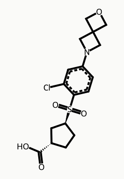 O=C(O)[C@H]1CC[C@H](S(=O)(=O)c2ccc(N3CC4(COC4)C3)cc2Cl)C1